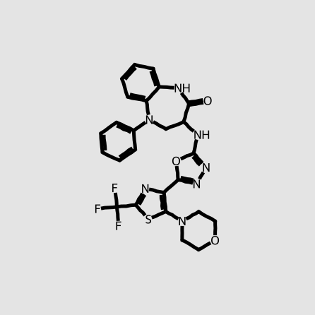 O=C1Nc2ccccc2N(c2ccccc2)CC1Nc1nnc(-c2nc(C(F)(F)F)sc2N2CCOCC2)o1